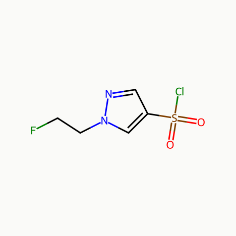 O=S(=O)(Cl)c1cnn(CCF)c1